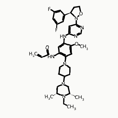 C=CC(=O)Nc1cc(Nc2cc(N3OCC[C@@H]3c3cc(F)cc(F)c3)ncn2)c(OC)cc1N1CCC(N2C[C@@H](C)N(CC)[C@@H](C)C2)CC1